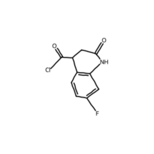 O=C1CC(C(=O)Cl)c2ccc(F)cc2N1